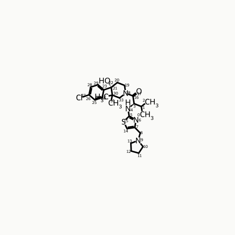 CC(C)[C@@H](Nc1nc(CN2CCCC2)cs1)C(=O)N1CC[C@](O)(c2ccc(Cl)cc2)C(C)(C)C1